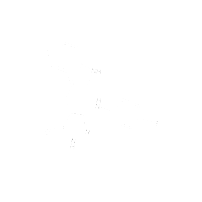 O=C1NN=C(Nc2ccc(F)cc2)C1=Cc1c[nH]c2ccccc12